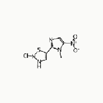 Cn1c([N+](=O)[O-])cnc1C1=CNN(Cl)S1